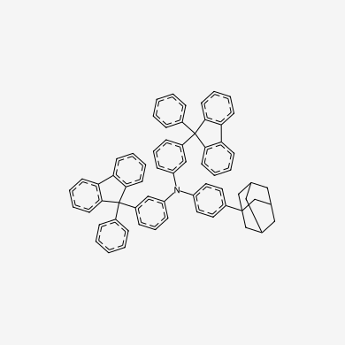 c1ccc(C2(c3cccc(N(c4ccc(C56CC7CC(CC(C7)C5)C6)cc4)c4cccc(C5(c6ccccc6)c6ccccc6-c6ccccc65)c4)c3)c3ccccc3-c3ccccc32)cc1